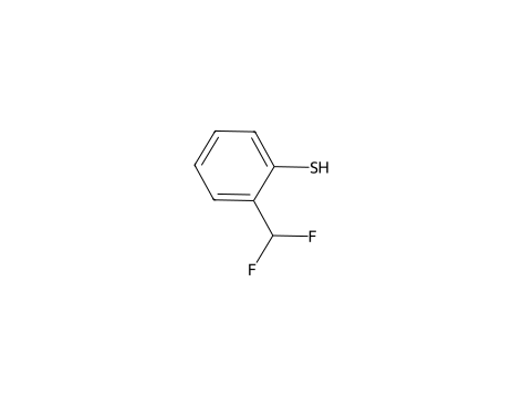 FC(F)c1ccccc1S